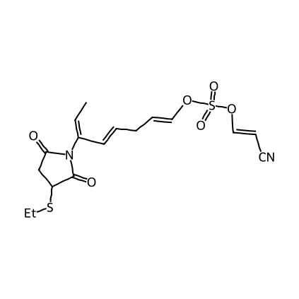 C/C=C(\C=C\C/C=C/OS(=O)(=O)O/C=C/C#N)N1C(=O)CC(SCC)C1=O